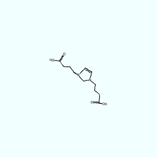 O=C(O)CCCN1C=CN(CCCC(=O)O)C1